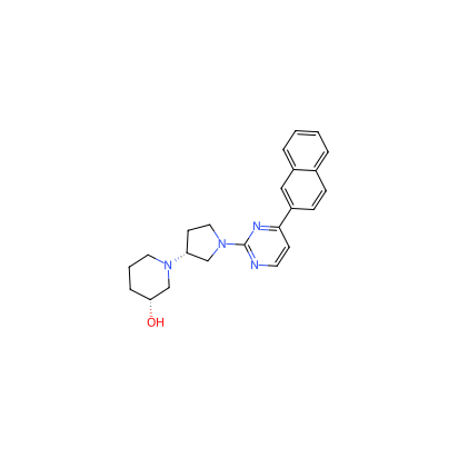 O[C@@H]1CCCN([C@@H]2CCN(c3nccc(-c4ccc5ccccc5c4)n3)C2)C1